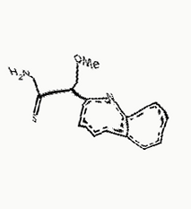 COC(C(N)=S)c1ccc2ccccc2n1